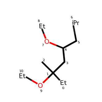 [CH2]CC(C)(CC(CC(C)C)OCC)OCC